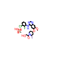 COc1cc2ncnc(Nc3cccc(Cl)c3F)c2cc1OC1CCN(C(=O)CO)C(I)C1.CS(=O)(=O)O